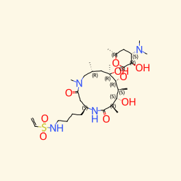 C=CS(=O)(=O)NCCCC[C@H]1CC(=O)N(C)C[C@H](C)C[C@@](C)(O)[C@H](O[C@@H]2O[C@H](C)C[C@H](N(C)C)[C@H]2O)[C@@H](C)[C@H](O)[C@@H](C)C(=O)N1